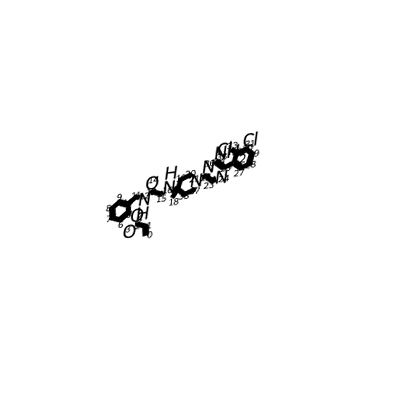 C=CC(=O)Oc1ccccc1CNC(=O)CNC1(C)CCN(c2cnc(-c3cccc(Cl)c3Cl)c(N)n2)CC1